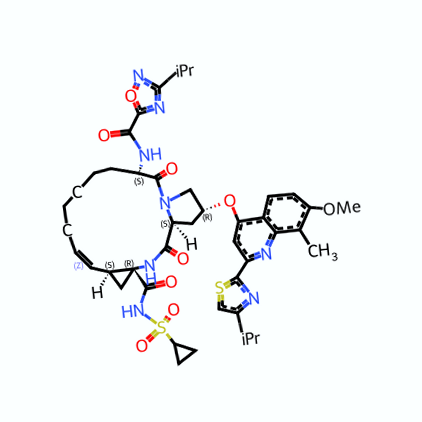 COc1ccc2c(O[C@@H]3C[C@H]4C(=O)N[C@]5(C(=O)NS(=O)(=O)C6CC6)C[C@H]5/C=C\CCCCC[C@H](NC(=O)c5nc(C(C)C)no5)C(=O)N4C3)cc(-c3nc(C(C)C)cs3)nc2c1C